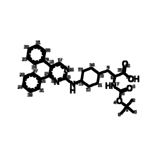 CC(C)(C)OC(=O)NC(CC1CCC(Nc2ncc(-c3ccccc3)c(-c3ccccc3)n2)CC1)C(=O)O